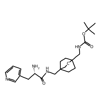 CC(C)(C)OC(=O)NCC12CCC(CNC(=O)[C@@H](N)Cc3cccnc3)(CC1)CC2